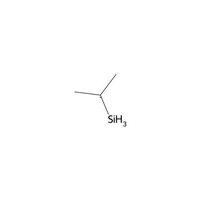 C[C](C)[SiH3]